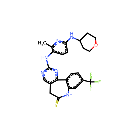 Cc1nc(NC2CCOCC2)ccc1Nc1ncc2c(n1)-c1ccc(C(F)(F)F)cc1NC(=S)C2